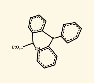 CCOC(=O)C(C)c1ccccc1P(c1ccccc1)c1ccccc1